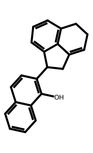 Oc1c(C2CC3=CCCc4cccc2c43)ccc2ccccc12